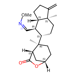 C=C1CC[C@H]2[C@H](/C=N\OC)[C@@H]([C@@]3(C)CC[C@H]4C[C@@H]3C(=O)O4)CC[C@]12C